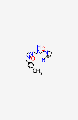 Cc1ccc(CN2CCN(CCNCC(=O)N3CCC[C@H]3C#N)C2=O)cc1